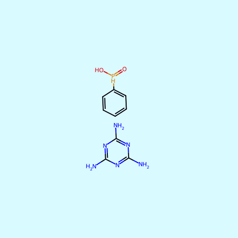 Nc1nc(N)nc(N)n1.O=[PH](O)c1ccccc1